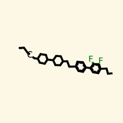 CCCCCC1CCC(C2CCC(CCc3ccc(-c4ccc(CCC)c(F)c4F)cc3)CC2)CC1